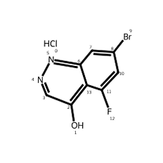 Cl.Oc1cnnc2cc(Br)cc(F)c12